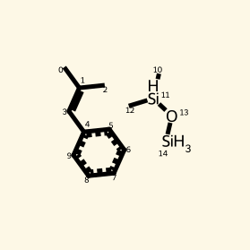 CC(C)=Cc1ccccc1.C[SiH](C)O[SiH3]